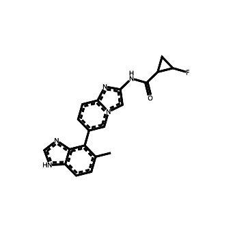 Cc1ccc2[nH]cnc2c1-c1ccc2nc(NC(=O)C3CC3F)cn2c1